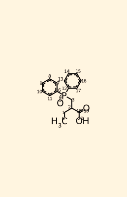 CCC(CP(=O)(c1ccccc1)c1ccccc1)C(=O)O